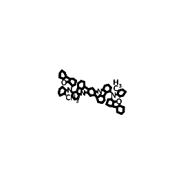 Cc1ccccc1N(c1cccc2c1oc1ccccc12)c1cccc2c1c1cccc3c4cc5c(cc4n2c31)c1cccc2c3c(N(c4ccccc4C)c4cccc6c4oc4ccccc46)cccc3n5c12